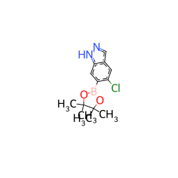 CC1(C)OB(c2cc3[nH]ncc3cc2Cl)OC1(C)C